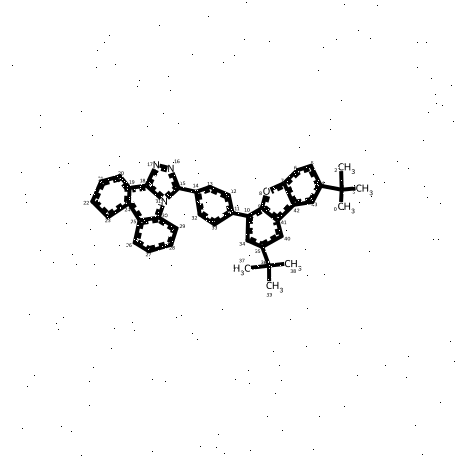 CC(C)(C)c1ccc2oc3c(-c4ccc(-c5nnc6c7ccccc7c7ccccc7n56)cc4)cc(C(C)(C)C)cc3c2c1